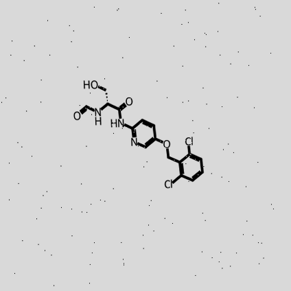 O=CN[C@H](CO)C(=O)Nc1ccc(OCc2c(Cl)cccc2Cl)cn1